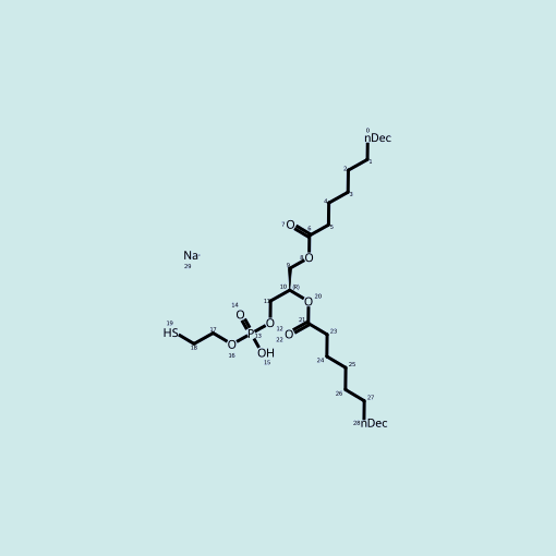 CCCCCCCCCCCCCCCC(=O)OC[C@H](COP(=O)(O)OCCS)OC(=O)CCCCCCCCCCCCCCC.[Na]